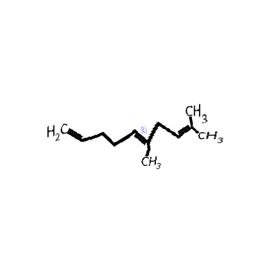 C=CCC/C=C(\C)CC=C(C)C